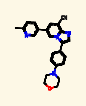 Cc1ccc(-c2cc(C#N)c3ncc(-c4ccc(N5CCOCC5)cc4)n3c2)cn1